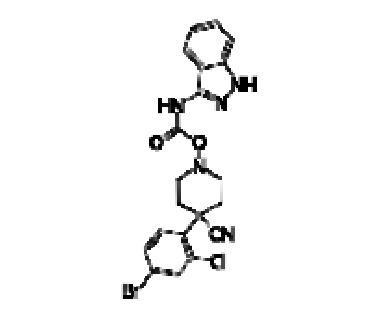 N#CC1(c2ccc(Br)cc2Cl)CCN(OC(=O)Nc2n[nH]c3ccccc23)CC1